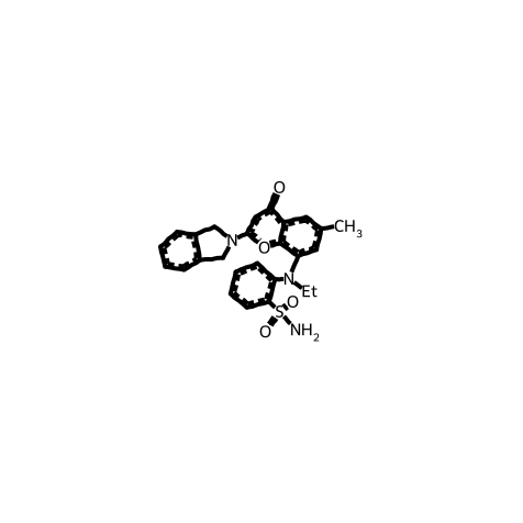 CCN(c1ccccc1S(N)(=O)=O)c1cc(C)cc2c(=O)cc(N3Cc4ccccc4C3)oc12